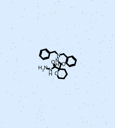 NNC(=O)C1(C(=O)NN(Cc2ccccc2)Cc2ccccc2)CCCCO1